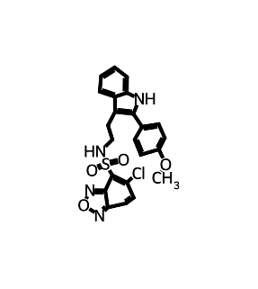 COc1ccc(-c2[nH]c3ccccc3c2CCNS(=O)(=O)c2c(Cl)ccc3nonc23)cc1